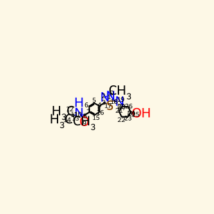 Cn1nc(-c2ccc(C(=O)NC(C)(C)C)cc2)sc1=N[C@@H]1CCC[C@@H](O)C1